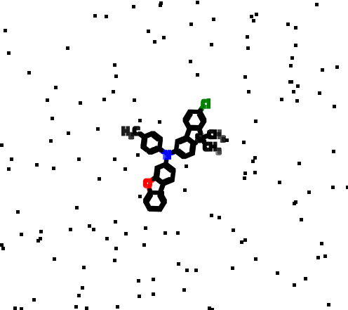 Cc1ccc(N(c2ccc3c(c2)-c2ccc(Cl)cc2[Si]3(C)C)c2ccc3c(c2)oc2ccccc23)cc1